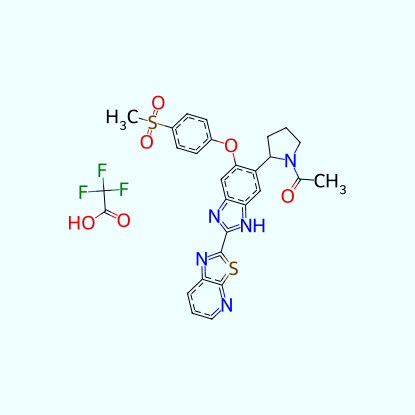 CC(=O)N1CCCC1c1cc2[nH]c(-c3nc4cccnc4s3)nc2cc1Oc1ccc(S(C)(=O)=O)cc1.O=C(O)C(F)(F)F